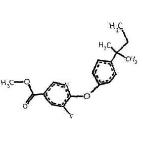 CCC(C)(C)c1ccc(Oc2ncc(C(=O)OC)cc2F)cc1